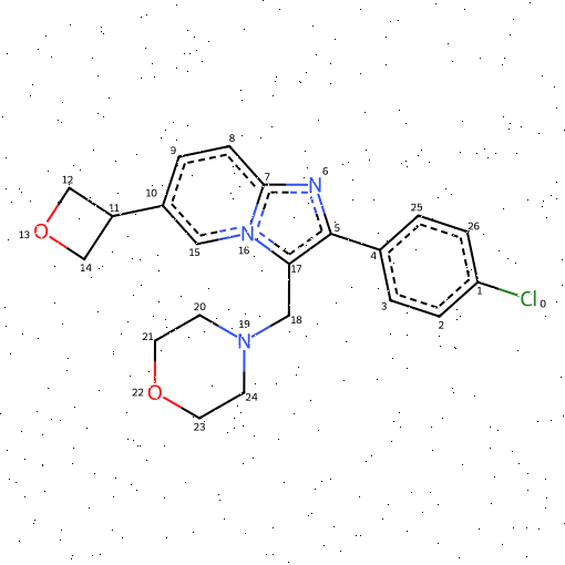 Clc1ccc(-c2nc3ccc(C4COC4)cn3c2CN2CCOCC2)cc1